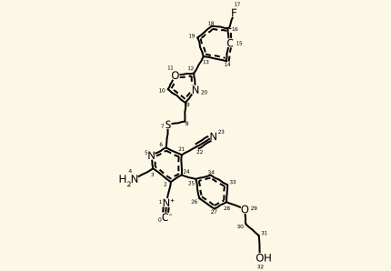 [C-]#[N+]c1c(N)nc(SCc2coc(-c3ccc(F)cc3)n2)c(C#N)c1-c1ccc(OCCO)cc1